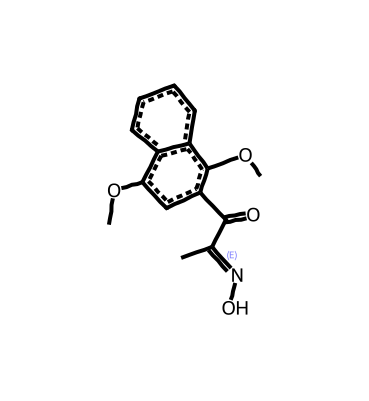 COc1cc(C(=O)/C(C)=N/O)c(OC)c2ccccc12